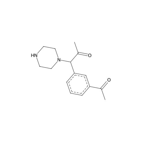 CC(=O)c1cccc(C(C(C)=O)N2CCNCC2)c1